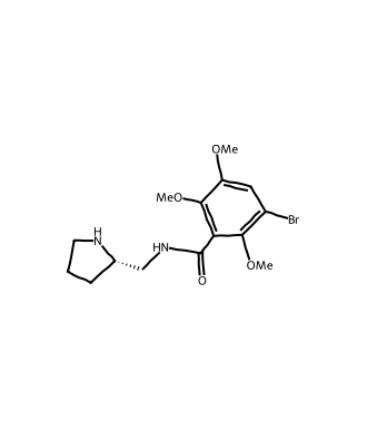 COc1cc(Br)c(OC)c(C(=O)NC[C@@H]2CCCN2)c1OC